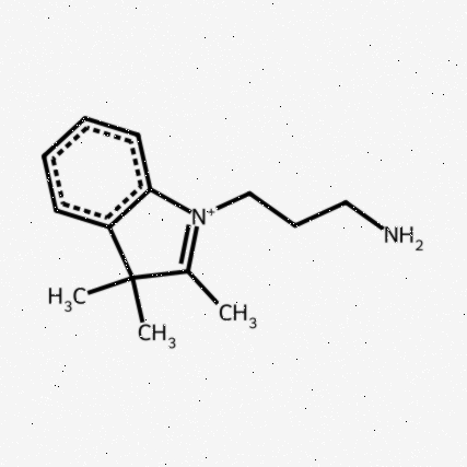 CC1=[N+](CCCN)c2ccccc2C1(C)C